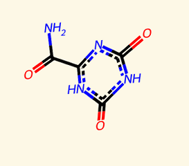 NC(=O)c1nc(=O)[nH]c(=O)[nH]1